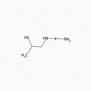 CC(S)C[NH][Ir][NH2]